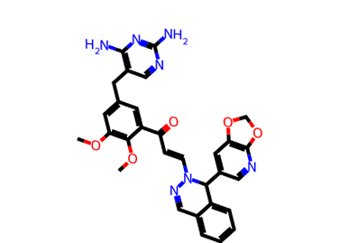 COc1cc(Cc2cnc(N)nc2N)cc(C(=O)/C=C/N2N=Cc3ccccc3C2c2cnc3c(c2)OCO3)c1OC